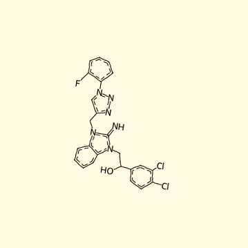 N=c1n(Cc2cn(-c3ccccc3F)nn2)c2ccccc2n1CC(O)c1ccc(Cl)c(Cl)c1